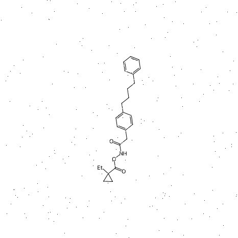 CCC1(C(=O)ONC(=O)Cc2ccc(CCCCc3ccccc3)cc2)CC1